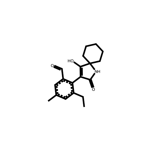 CCc1cc(C)cc(C=O)c1C1=C(O)C2(CCCCC2)NC1=O